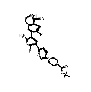 CC(C)(C)OC(=O)N1CCN(c2ccc(-c3cc(-c4cc5c(cc4F)C(=O)NCC5)c(N)nc3F)nc2)CC1